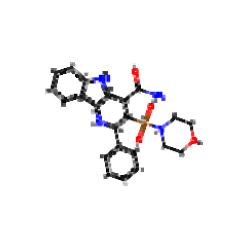 NC(=O)c1c(S(=O)(=O)N2CCOCC2)c(-c2ccccc2)nc2c1[nH]c1ccccc12